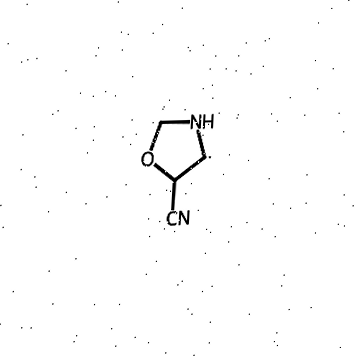 N#CC1[CH]NCO1